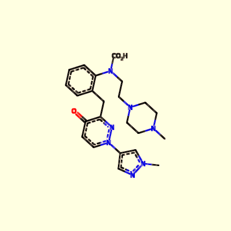 CN1CCN(CCN(C(=O)O)c2ccccc2Cc2nn(-c3cnn(C)c3)ccc2=O)CC1